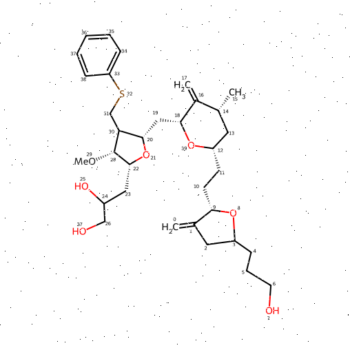 C=C1CC(CCCO)O[C@H]1CC[C@H]1C[C@@H](C)C(=C)[C@@H](C[C@@H]2O[C@H](CC(O)CO)[C@H](OC)C2CSc2ccccc2)O1